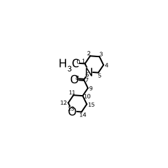 CC1CCCCN1C(=O)CC1CCOCC1